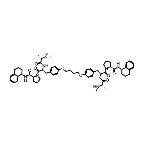 CN[C@@H](C)C(=O)N[C@@H](Cc1ccc(OCCCCOc2ccc(C[C@H](NC(=O)[C@H](C)NC)C(=O)N3CCC[C@H]3C(=O)N[C@@H]3CCCc4ccccc43)cc2)cc1)C(=O)N1CCCC1C(=O)N[C@@H]1CCCc2ccccc21